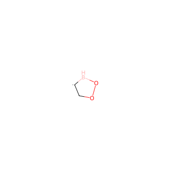 B1[CH]COO1